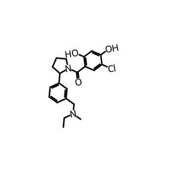 CCN(C)Cc1cccc(C2CCCN2C(=O)c2cc(Cl)c(O)cc2O)c1